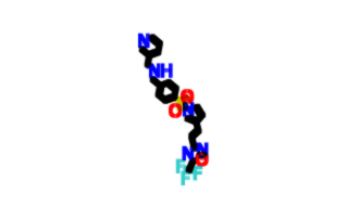 O=S(=O)(c1ccc(CNCc2cccnc2)cc1)n1ccc(C=Cc2noc(C(F)(F)F)n2)c1